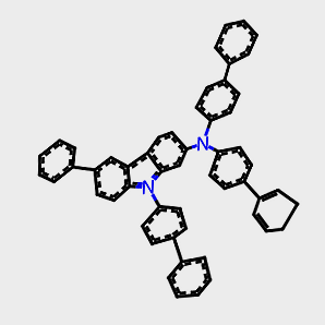 C1=CC(c2ccc(N(c3ccc(-c4ccccc4)cc3)c3ccc4c5cc(-c6ccccc6)ccc5n(-c5ccc(-c6ccccc6)cc5)c4c3)cc2)=CCC1